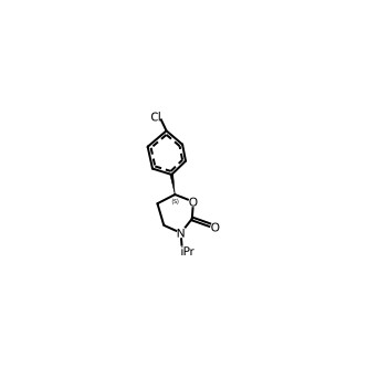 CC(C)N1CC[C@@H](c2ccc(Cl)cc2)OC1=O